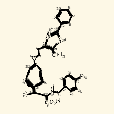 CCC(c1ccc(OCCc2nc(-c3ccccc3)sc2C)cc1)C(NCc1ccc(F)cc1)C(=O)O